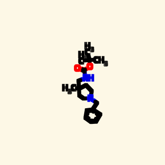 CC1(CNC(=O)OC(C)(C)C)CCN(Cc2ccccc2)CC1